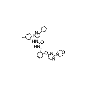 Cc1ccc(-n2nc(C3CCCC3)cc2NC(=O)NCc2ccccc2Oc2ccnc(N3CCOCC3)n2)cc1